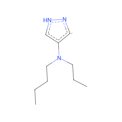 CCCCN(CCC)c1[c]n[nH]c1